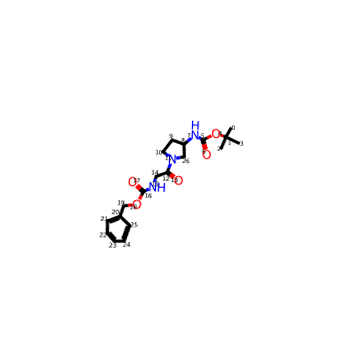 CC(C)(C)OC(=O)NC1CCN(C(=O)CNC(=O)OCc2ccccc2)C1